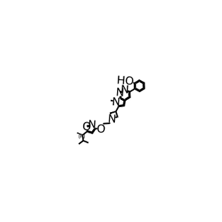 CC(C)[C@@H](C)c1cc(OCCN2CC(c3cc4cc(-c5ccccc5O)nnc4n3C)C2)no1